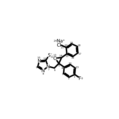 Fc1ccc(C2(Cn3ncnc3[S-])OC2c2ccccc2Cl)cc1.[Na+]